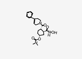 CN(C)C(=O)O[C@@H]1CC[C@H](C(=O)N2CC=C(c3ccccc3)CC2)[C@@H](C(=O)NO)C1